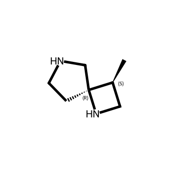 C[C@H]1CN[C@]12CCNC2